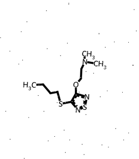 CCCCSc1nsnc1OCCN(C)C